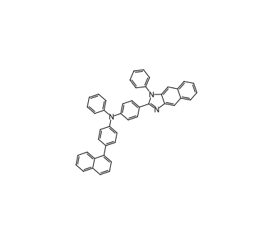 c1ccc(N(c2ccc(-c3cccc4ccccc34)cc2)c2ccc(-c3nc4cc5ccccc5cc4n3-c3ccccc3)cc2)cc1